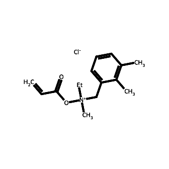 C=CC(=O)O[N+](C)(CC)Cc1cccc(C)c1C.[Cl-]